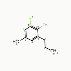 CCCc1cc(C)cc(F)c1F